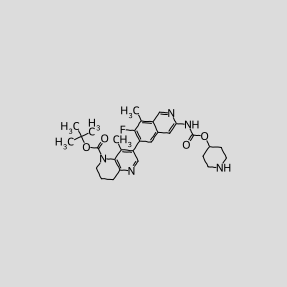 Cc1c(-c2cc3cc(NC(=O)OC4CCNCC4)ncc3c(C)c2F)cnc2c1N(C(=O)OC(C)(C)C)CCC2